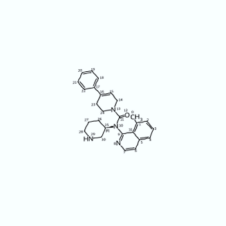 Cc1cccc2ccnc(N(C(=O)N3CC=C(c4ccccc4)CC3)[C@@H]3CCCNC3)c12